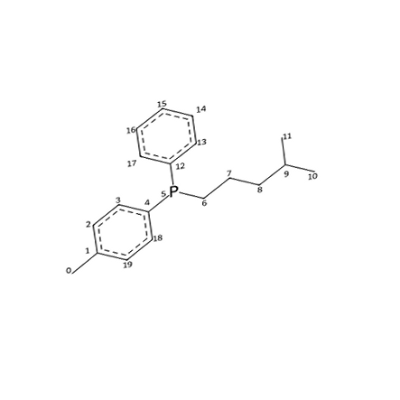 Cc1ccc(P(CCCC(C)C)c2ccccc2)cc1